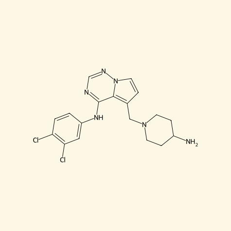 NC1CCN(Cc2ccn3ncnc(Nc4ccc(Cl)c(Cl)c4)c23)CC1